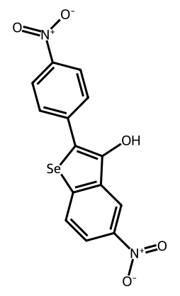 O=[N+]([O-])c1ccc(-c2[se]c3ccc([N+](=O)[O-])cc3c2O)cc1